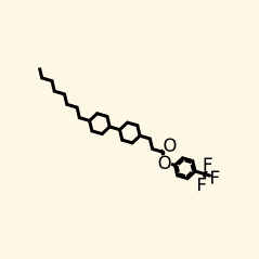 CCCCCCCCC1CCC(C2CCC(CCC(=O)Oc3ccc(C(F)(F)F)cc3)CC2)CC1